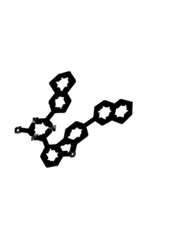 Clc1nc(-c2ccc3ccccc3c2)nc(-c2cccc3oc4cc(-c5ccc6ccccc6c5)ccc4c23)n1